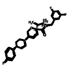 CC(C)[C@]1(C(=O)NCc2cc(F)cc(F)c2)CCC(N2CCC(c3ccc(F)cc3)CC2)CO1